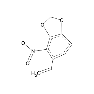 C=Cc1ccc2c(c1[N+](=O)[O-])OCO2